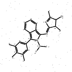 CCC1C(C)=N/C(=N\c2c3ccccc3c(-c3cc(C)c(C)c(C)c3)n2B(F)F)C1C